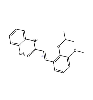 COc1cccc(/C=C/C(=O)Nc2ccccc2N)c1OC(C)C